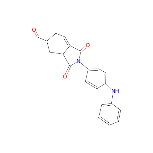 O=CC1CC=C2C(=O)N(c3ccc(Nc4ccccc4)cc3)C(=O)C2C1